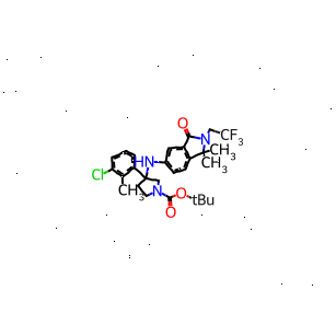 Cc1c(Cl)cccc1C1(Nc2ccc3c(c2)C(=O)N(CC(F)(F)F)C3(C)C)CCN(C(=O)OC(C)(C)C)C1